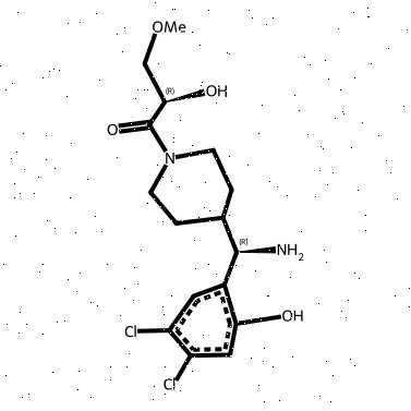 COC[C@@H](O)C(=O)N1CCC([C@@H](N)c2cc(Cl)c(Cl)cc2O)CC1